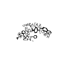 COCO[C@@H](COC(=O)Nc1ccc(S(=O)(=O)C2CC2)c(CN(C)C(=O)OCc2ccccc2)c1)c1ccc(C(Nc2ccc3cc[nH]c(=O)c3c2)C(=O)O)cc1C